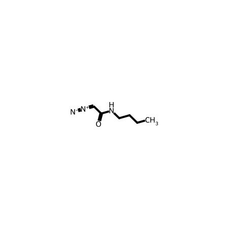 CCCCNC(=O)C=[N+]=[N-]